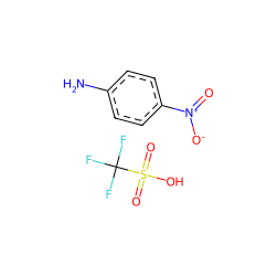 Nc1ccc([N+](=O)[O-])cc1.O=S(=O)(O)C(F)(F)F